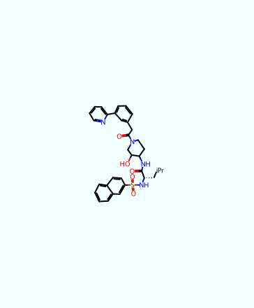 CC(C)C[C@H](NS(=O)(=O)c1ccc2ccccc2c1)C(=O)NC1CCN(C(=O)Cc2cccc(-c3ccccn3)c2)CC1O